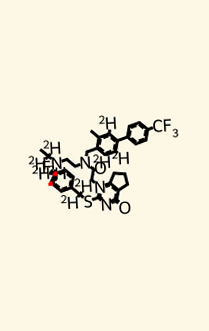 [2H]c1c([2H])c(-c2ccc(C(F)(F)F)cc2)c([2H])c(C)c1CN(CCN(C([2H])([2H])C)C([2H])([2H])C)C(=O)Cn1c(SC([2H])([2H])c2ccc(F)cc2)nc(=O)c2c1CCC2